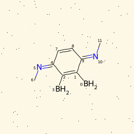 BC1=C(B)/C(=N\C)C=CC1=NC